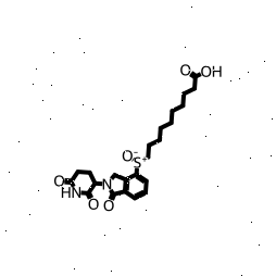 O=C(O)CCCCCCCCC[S+]([O-])c1cccc2c1CN(C1CCC(=O)NC1=O)C2=O